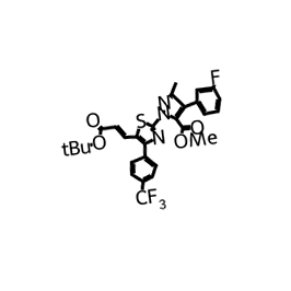 COC(=O)c1c(-c2cccc(F)c2)c(C)nn1-c1nc(-c2ccc(C(F)(F)F)cc2)c(C=CC(=O)OC(C)(C)C)s1